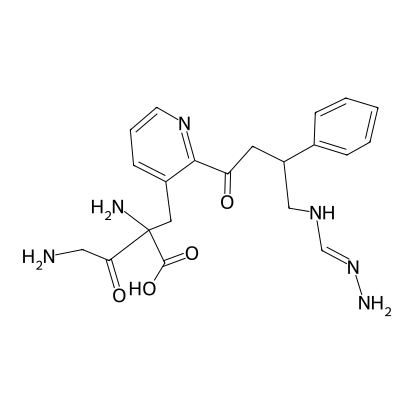 NCC(=O)C(N)(Cc1cccnc1C(=O)CC(CNC=NN)c1ccccc1)C(=O)O